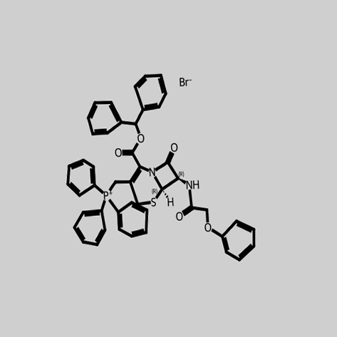 O=C(COc1ccccc1)N[C@@H]1C(=O)N2C(C(=O)OC(c3ccccc3)c3ccccc3)=C(C[P+](c3ccccc3)(c3ccccc3)c3ccccc3)CS[C@H]12.[Br-]